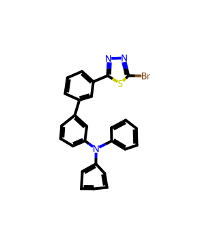 Brc1nnc(-c2cccc(-c3cccc(N(c4ccccc4)c4ccccc4)c3)c2)s1